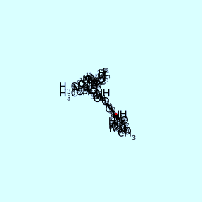 CC(C)N(C)[C@@H]1CC[C@H](N2CC[C@H](Nc3ncnc4ccc(C(F)(F)F)cc34)C2=O)[C@H](NC(=O)C2CCC(NC(=O)CCOCCOCCNC(=O)CNC(=O)[C@H]3CC(=O)N(C)[C@@H]3c3cccnc3)CC2)C1